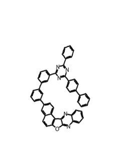 c1ccc(-c2ccc(-c3nc(-c4ccccc4)nc(-c4cccc(-c5cccc(-c6ccc7c(ccc8oc9nc%10ccccc%10nc9c87)c6)c5)c4)n3)cc2)cc1